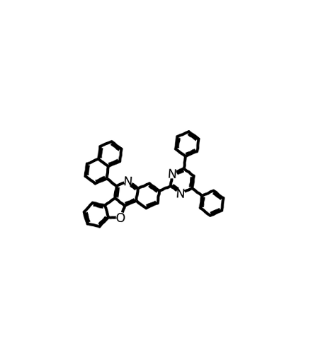 c1ccc(-c2cc(-c3ccccc3)nc(-c3ccc4c(c3)nc(-c3cccc5ccccc35)c3c5ccccc5oc43)n2)cc1